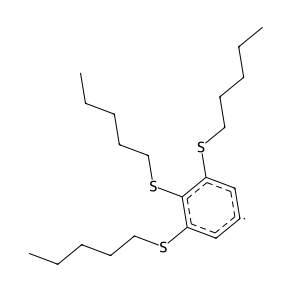 CCCCCSc1c[c]cc(SCCCCC)c1SCCCCC